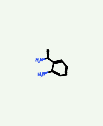 C=C(N)c1ccccc1N